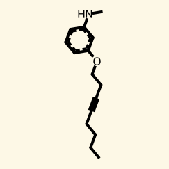 CCCCC#CCCOc1cccc(NC)c1